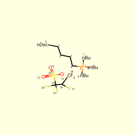 CCCCCCCCCCCCCC[P+](CCCC)(CCCC)CCCC.O=S(=O)([O-])C(F)(F)C(F)C(F)(F)F